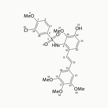 COc1ccc(S(=O)(=O)Nc2c(C=Cc3cc(OC)c(OC)c(OC)c3)ccc(O)c2OC)cc1Cl